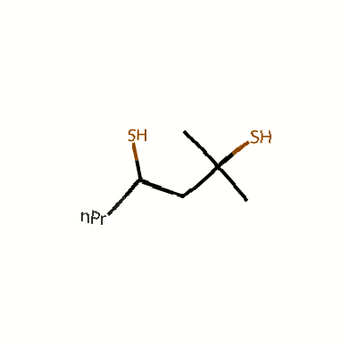 CCCC(S)CC(C)(C)S